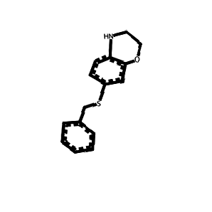 c1ccc(CSc2ccc3c(c2)OCCN3)cc1